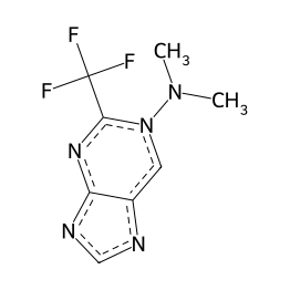 CN(C)n1cc2ncnc-2nc1C(F)(F)F